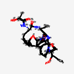 CC(O)c1coc(-c2nc3oc2C24c5ccccc5NC2Oc2ccc(cc24)C[C@H](NC(=O)[C@@H](O)C(C)C)C(=O)N[C@H]3C(C)C)n1